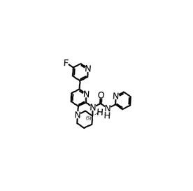 O=C(Nc1ccccn1)N1c2nc(-c3cncc(F)c3)ccc2N2CCC[C@H]1C2